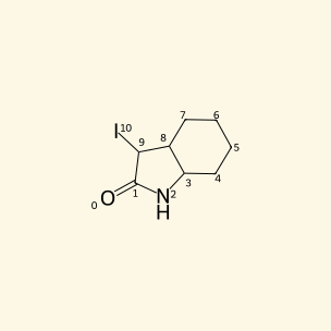 O=C1NC2CCCCC2C1I